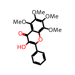 COc1c(OC)c(OC)c2c(=O)c(O)c(-c3ccccc3)oc2c1OC